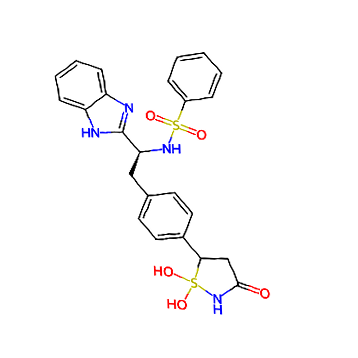 O=C1CC(c2ccc(C[C@H](NS(=O)(=O)c3ccccc3)c3nc4ccccc4[nH]3)cc2)S(O)(O)N1